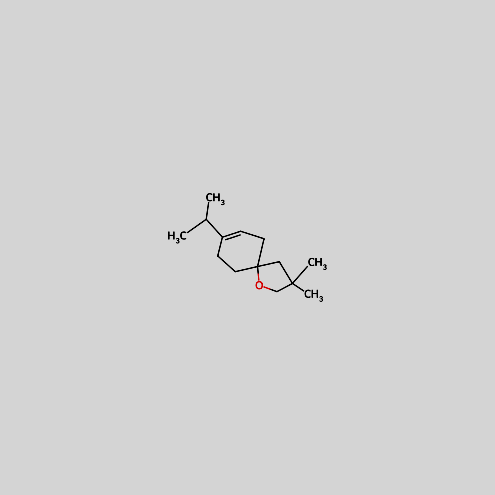 CC(C)C1=CCC2(CC1)CC(C)(C)CO2